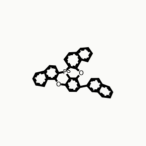 S=P12c3ccc4ccccc4c3Oc3ccc(-c4ccc5ccccc5c4)c(c31)Oc1c2ccc2ccccc12